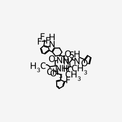 CCC(C)[C@H](NC(=O)Cc1ccccc1F)C(=O)N[C@]1(C(=O)N[C@H](C(=S)NCc2ccco2)C(C)CC)CCc2[nH]c3c(C(F)(F)F)cccc3c2C1